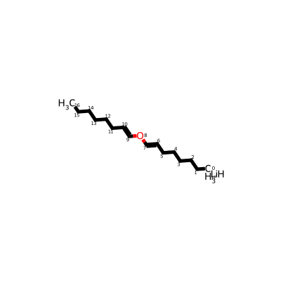 CCCCCCC=COC=CCCCCCC.[LiH]